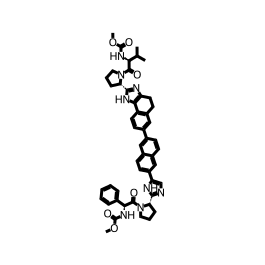 COC(=O)N[C@H](C(=O)N1CCC[C@H]1c1nc2c([nH]1)-c1ccc(-c3ccc4cc(-c5cnc([C@@H]6CCCN6C(=O)[C@H](NC(=O)OC)c6ccccc6)[nH]5)ccc4c3)cc1CC2)C(C)C